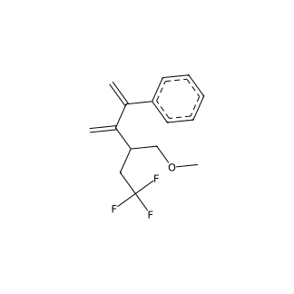 C=C(C(=C)C(COC)CC(F)(F)F)c1ccccc1